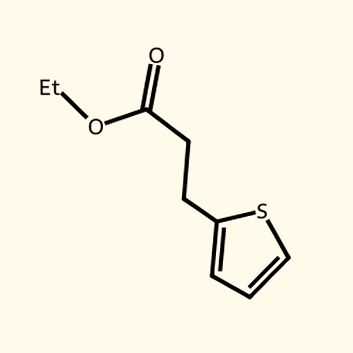 CCOC(=O)CCc1cccs1